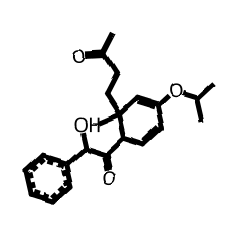 CC(=O)CCC1(C)C=C(OC(C)C)C=CC1C(=O)C(O)c1ccccc1